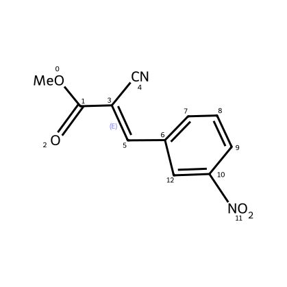 COC(=O)/C(C#N)=C/c1cccc([N+](=O)[O-])c1